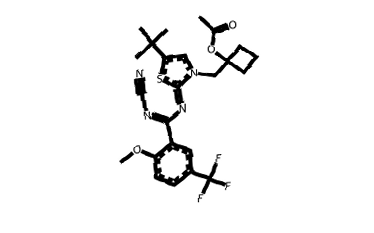 COc1ccc(C(F)(F)F)cc1C(=NC#N)N=c1sc(C(C)(C)C)cn1CC1(OC(C)=O)CCC1